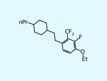 CCCC1CCC(CCc2ccc(OCC)c(F)c2C(F)(F)F)CC1